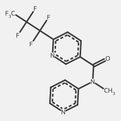 CN(C(=O)c1ccc(C(F)(F)C(F)(F)C(F)(F)F)nc1)c1cccnc1